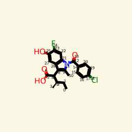 CC[C@@H](C)C(C(=O)O)c1c(C)n(C(=O)c2ccc(Cl)cc2)c2cc(F)c(O)cc12